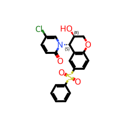 O=c1ccc(Cl)cn1[C@H]1c2cc(S(=O)(=O)c3ccccc3)ccc2OC[C@@H]1O